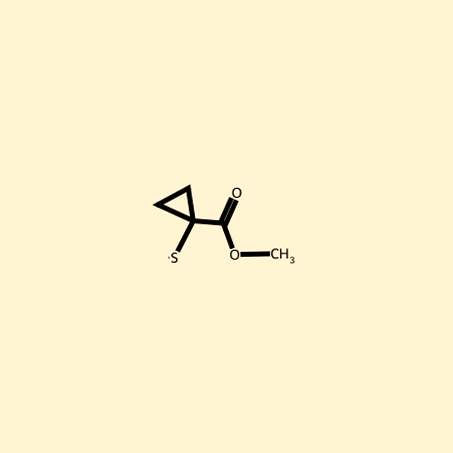 COC(=O)C1([S])CC1